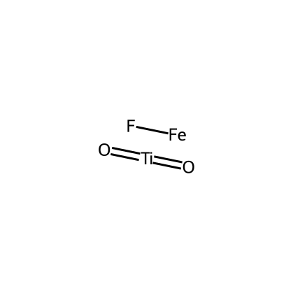 [F][Fe].[O]=[Ti]=[O]